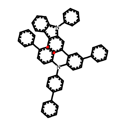 c1ccc(-c2ccc(N(c3ccc(-c4ccccc4)cc3)c3ccc(-c4ccccc4)cc3-c3ccc4c5ccccc5n(-c5ccccc5)c4c3)cc2)cc1